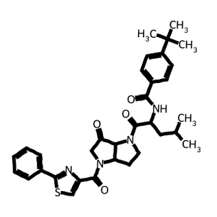 CC(C)CC(NC(=O)c1ccc(C(C)(C)C)cc1)C(=O)N1CCC2C1C(=O)CN2C(=O)c1csc(-c2ccccc2)n1